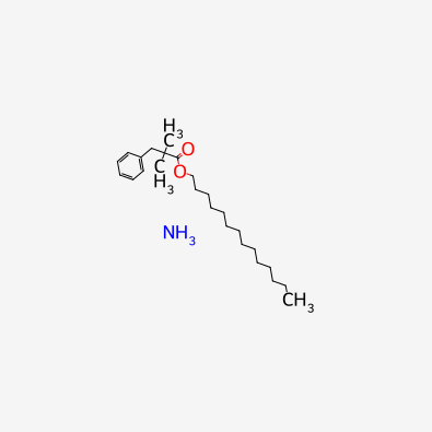 CCCCCCCCCCCCCCOC(=O)C(C)(C)Cc1ccccc1.N